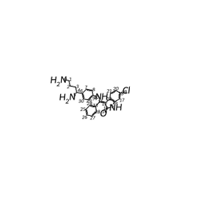 NCCCC(N)c1ccc(NC(=C2C(=O)Nc3cc(Cl)ccc32)c2ccccc2)cc1